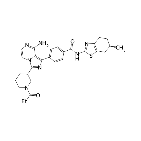 CCC(=O)N1CCCC(c2nc(-c3ccc(C(=O)Nc4nc5c(s4)C[C@H](C)CC5)cc3)c3c(N)nccn23)C1